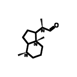 C[C@H](C=O)C1CCC2[C@@H](C)CCC[C@]12C